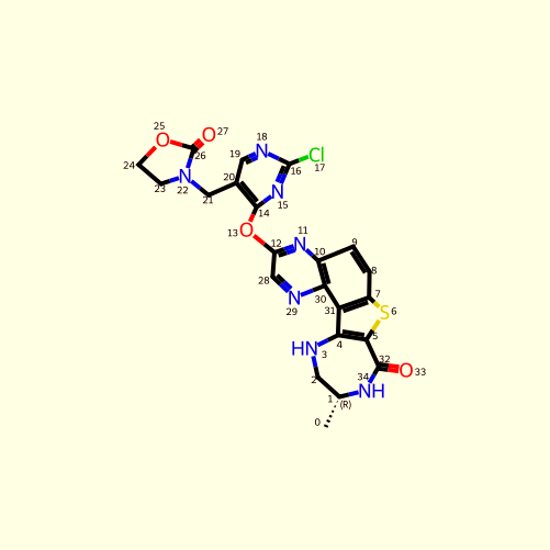 C[C@@H]1CNc2c(sc3ccc4nc(Oc5nc(Cl)ncc5CN5CCOC5=O)cnc4c23)C(=O)N1